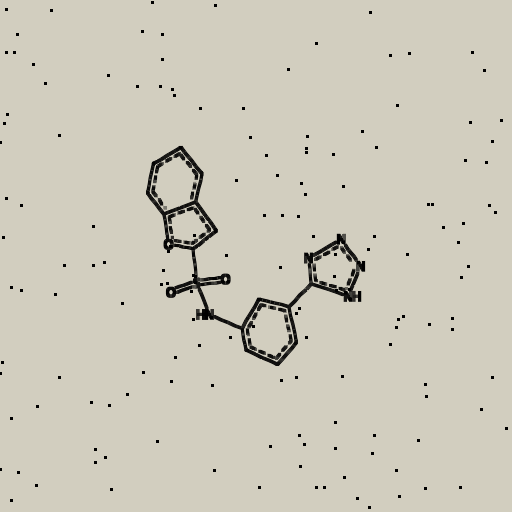 O=S(=O)(Nc1cccc(-c2nnn[nH]2)c1)c1cc2ccccc2o1